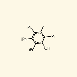 Cc1c(C(C)C)c(O)c(C(C)C)c(C(C)C)c1C(C)C